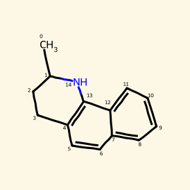 CC1CCc2ccc3ccccc3c2N1